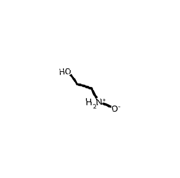 [O-][NH2+]CCO